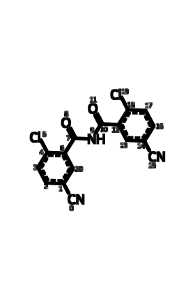 N#Cc1ccc(Cl)c(C(=O)NC(=O)c2cc(C#N)ccc2Cl)c1